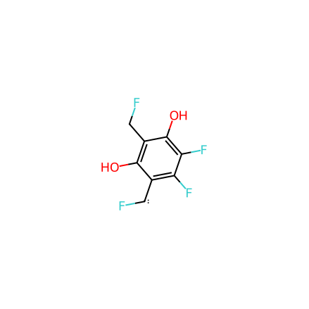 Oc1c(F)c(F)c([C]F)c(O)c1CF